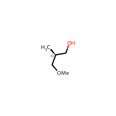 COC[C@@H](C)CO